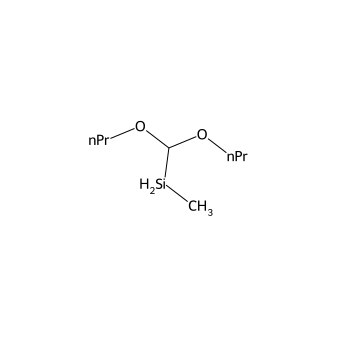 CCCOC(OCCC)[SiH2]C